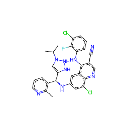 Cc1ncccc1[C@H](Nc1cc(Cl)c2ncc(C#N)c(Nc3cccc(Cl)c3F)c2c1)C1=CN(C(C)C)NN1